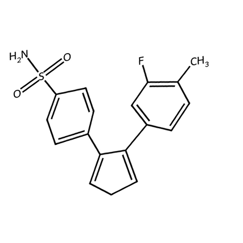 Cc1ccc(C2=CCC=C2c2ccc(S(N)(=O)=O)cc2)cc1F